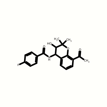 CC(=O)c1cccc2c1OC(C)(C)C(O)C2NC(=O)c1ccc(F)cc1